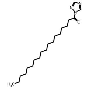 CCCCCCCCCCCCCCCCCC(=O)n1cncn1